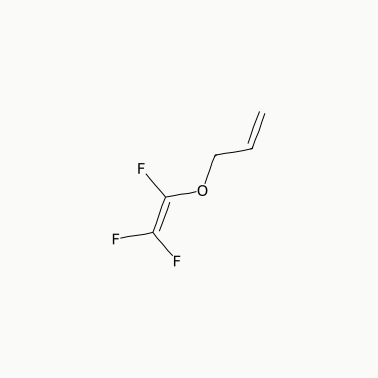 C=CCOC(F)=C(F)F